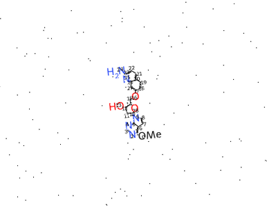 COc1ncnc2c1ccn2[C@H]1C[C@H](O)[C@@H](COc2ccc3ccc(N)nc3c2)O1